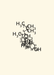 CC/C(C)=C(/C)CC[C@@H](C)[C@H]1CC[C@H]2[C@@H]3CC=C4C[C@@H](O)CC[C@]4(C)[C@H]3CC[C@]12C